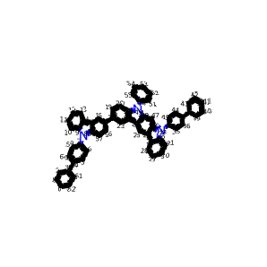 c1ccc(-c2ccc(-n3c4ccccc4c4cc(-c5ccc6c(c5)c5cc7c8ccccc8n(-c8ccc(-c9ccccc9)cc8)c7cc5n6-c5ccccc5)ccc43)cc2)cc1